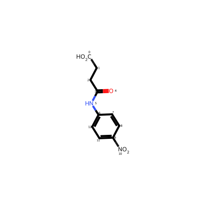 O=C(O)CCC(=O)Nc1ccc([N+](=O)[O-])cc1